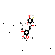 COc1cc2c(cc1C(=O)C=Cc1cc(OC)c(OC)c(OC)c1)SCCO2